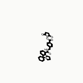 O=C(NCc1ccc(C(=O)ON2C(=O)CCC2=O)cc1)c1cccc(C2(N3CCCC3)CCCCC2)c1